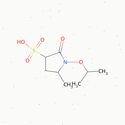 CC(C)ON1C(=O)C(S(=O)(=O)O)CC1C